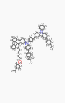 C=Cc1ccc(OCCCCCCCCC2(c3ccccc3)C3=CC(N(c4ccc(C5=CC6C7CC(C8=CCC(C=C)C=C8)CC=C7N(c7ccccc7)C6C=C5)cc4)c4ccc(-c5ccc(C(C)(C)C)cc5)cc4)CC=C3c3ccccc32)cc1